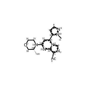 CC(=O)c1ncn2c(-c3ccnn3C)cc(N3CCOC[C@H]3C)nc12